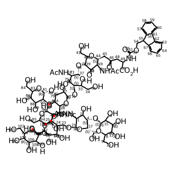 CC(=O)NC1C(O)[C@H](O[C@@H]2OC(CO)[C@H](O)[C@H](O)C2O)[C@H](CO)O[C@H]1OCC1[C@@H](OCC2O[C@@H](O[C@@H]3C(CO)O[C@@H](O[C@@H]4C(CO)O[C@@H](CC(=O)CC(NC(=O)OCC5c6ccccc6-c6ccccc65)C(=O)O)C(NC(C)=O)[C@H]4O)C(NC(C)=O)[C@H]3O)C(O)[C@@H](O[C@H]3OC(CO)[C@@H](O)C(O)C3O[C@@H]3OC(CO)[C@@H](O[C@@H]4OC(CO)[C@H](O)[C@H](O)C4O)[C@H](O)C3NC(C)=O)[C@@H]2O)OC(CO)[C@@H](O)[C@@H]1O